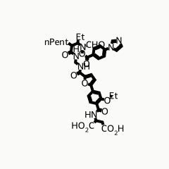 CCCCCC(C(=O)NCNC(=O)c1ccc(-c2ccc(C(=O)NC(CC(=O)O)C(=O)O)c(OCC)c2)o1)C(CC)N(C=O)OC(=O)c1ccc(-n2ccnc2)cc1